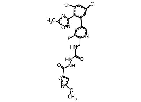 COc1cc(C(=O)NNC(=O)NCc2ncc(-c3cc(Cl)cc(Cl)c3-c3noc(C)n3)cc2F)on1